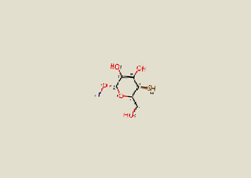 OCC1O[C@H](OI)C(O)C(O)[C@H]1S